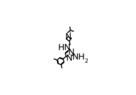 C[C](C)CN1CC(CNc2cc(-c3cc(C)cc(C)c3)nc(N)n2)C1